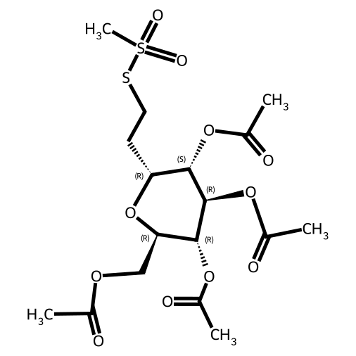 CC(=O)OC[C@H]1O[C@H](CCSS(C)(=O)=O)[C@H](OC(C)=O)[C@@H](OC(C)=O)[C@@H]1OC(C)=O